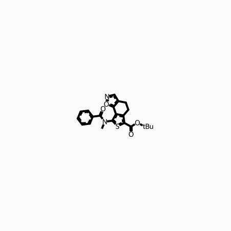 CN(C(=O)c1ccccc1)c1sc(C(=O)OC(C)(C)C)c2c1-c1oncc1CC2